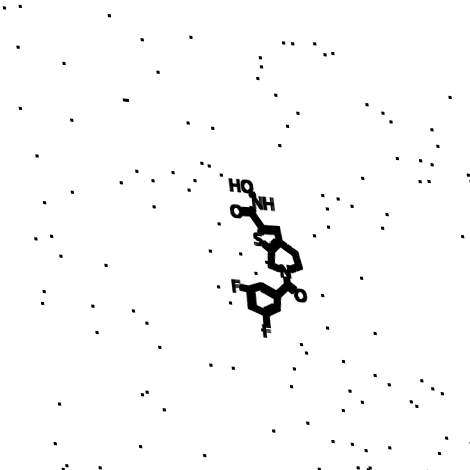 O=C(NO)c1cc2c(s1)CN(C(=O)c1cc(F)cc(F)c1)CC2